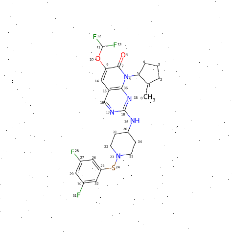 CC1CCCC1n1c(=O)c(OC(F)F)cc2cnc(NC3CCN(Sc4cc(F)cc(F)c4)CC3)nc21